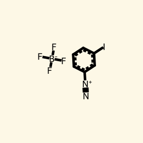 F[B-](F)(F)F.N#[N+]c1cccc(I)c1